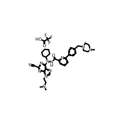 CN(C)CCn1cnc2c(N(NC(=O)c3cccc(-c4ccc(CN5CCN(C)CC5)cc4)n3)C3CCCCC3)nc(C#N)nc21.O=C(O)C(F)(F)F